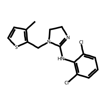 Cc1ccsc1CN1CCN=C1Nc1c(Cl)cccc1Cl